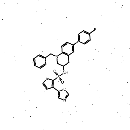 O=S(=O)(NC1Cc2cc(-c3ccc(F)cc3)ccc2N(Cc2ccccc2)C1)c1sccc1-c1cnco1